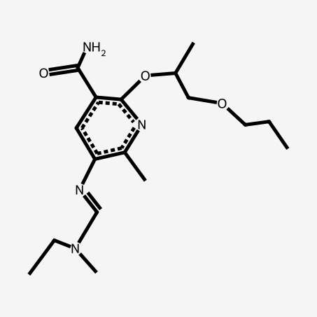 CCCOCC(C)Oc1nc(C)c(/N=C/N(C)CC)cc1C(N)=O